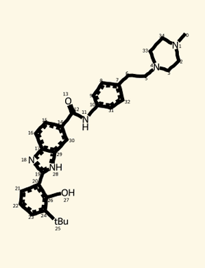 CN1CCN(CCc2ccc(NC(=O)c3ccc4nc(-c5cccc(C(C)(C)C)c5O)[nH]c4c3)cc2)CC1